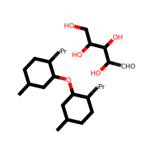 CC1CCC(C(C)C)C(OC2CC(C)CCC2C(C)C)C1.O=CC(O)C(O)C(O)CO